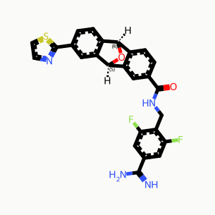 N=C(N)c1cc(F)c(CNC(=O)c2ccc3c(c2)[C@@H]2O[C@H]3c3ccc(-c4nccs4)cc32)c(F)c1